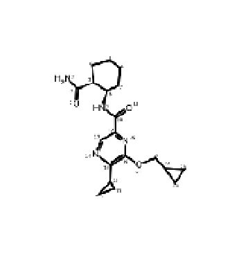 NC(=O)[C@H]1CCCC[C@H]1NC(=O)c1cnc(C2CC2)c(OCC2CC2)n1